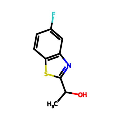 CC(O)c1nc2cc(F)ccc2s1